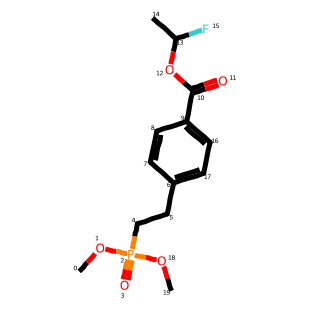 COP(=O)(CCc1ccc(C(=O)OC(C)F)cc1)OC